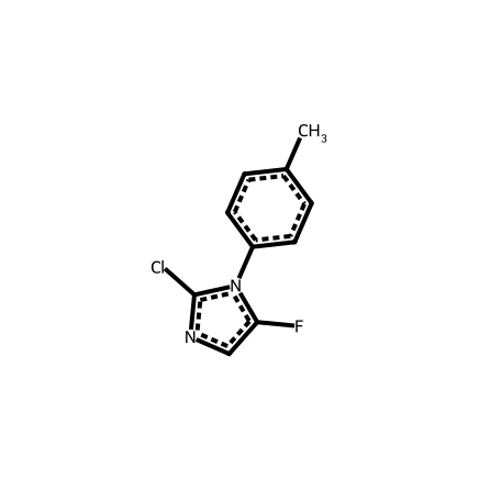 Cc1ccc(-n2c(F)cnc2Cl)cc1